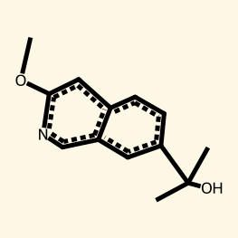 COc1cc2ccc(C(C)(C)O)cc2cn1